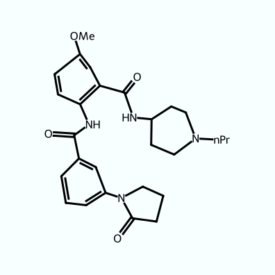 CCCN1CCC(NC(=O)c2cc(OC)ccc2NC(=O)c2cccc(N3CCCC3=O)c2)CC1